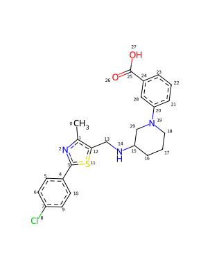 Cc1nc(-c2ccc(Cl)cc2)sc1CNC1CCCN(c2cccc(C(=O)O)c2)C1